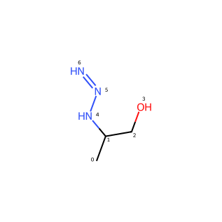 CC(CO)NN=N